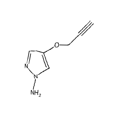 C#CCOc1cnn(N)c1